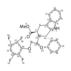 COC(=O)[C@H]1Cc2c([nH]c3ccccc23)[C@H](c2ccccc2)N1C(=O)COc1c(F)c(F)cc(F)c1F